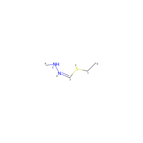 CCS/C=N\NC